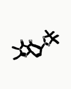 Cc1nc2ccc(B3OC(C)(C)C(C)(C)O3)c(Cl)c2c(=O)n1C